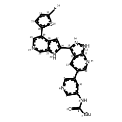 CC(C)(C)C(=O)Nc1cncc(-c2cnc3[nH]nc(-c4cc5c(-c6ccc(F)s6)cncc5[nH]4)c3c2)c1